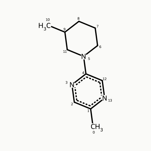 Cc1cnc(N2CCCC(C)C2)cn1